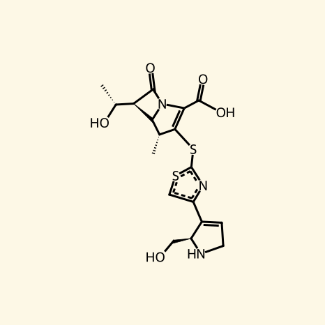 C[C@H]1C(Sc2nc(C3=CCN[C@H]3CO)cs2)=C(C(=O)O)N2C(=O)[C@H]([C@@H](C)O)C12